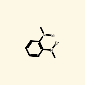 CN(Br)c1[c]cccc1N(C)Br